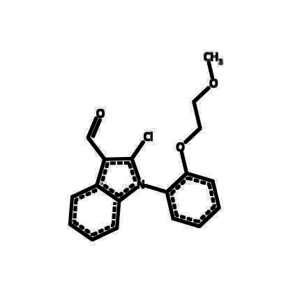 COCCOc1ccccc1-n1c(Cl)c(C=O)c2ccccc21